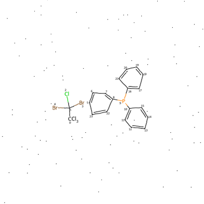 ClC(Cl)(Cl)C(Cl)(Br)Br.c1ccc(P(c2ccccc2)c2ccccc2)cc1